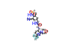 CS(=O)(=O)Nc1c(F)cc(CNC(=O)/C=C/c2ccc(C(F)(F)F)nc2N2CCOCC2)cc1C#N